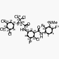 CNc1c(F)ccc(NC(=O)c2cc(NC(=O)[C@H]3[C@H](c4cc(Cl)c(Cl)c(Cl)c4)C3(Cl)Cl)cc(F)c2Cl)c1F